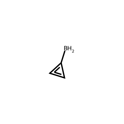 BC1=C=C1